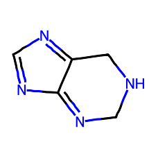 C1=NC2=NCNCC2=N1